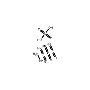 N=C=O.N=C=O.N=C=O.NN.O=S(=O)(O)O